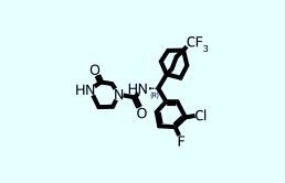 O=C1CN(C(=O)N[C@@H](c2ccc(F)c(Cl)c2)C23CCC(C(F)(F)F)(CC2)CC3)CCN1